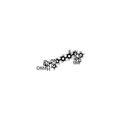 COC(=O)N[C@H](C(=O)N1CCC[C@H]1C1=NC=C(c2ccc(-c3ccc(-c4cnc([C@@H]5CCCN5C(=O)OC(C)(C)C)[nH]4)c(F)c3)cc2)C1)C(C)C